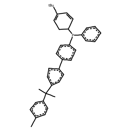 Cc1ccc(C(C)(C)c2ccc(-c3ccc(P(c4ccccc4)C4C=CC(C(C)(C)C)=CC4)cc3)cc2)cc1